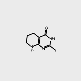 O=c1[nH]c(I)nc2c1CCCN2